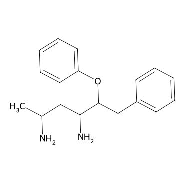 CC(N)CC(N)C(Cc1ccccc1)Oc1ccccc1